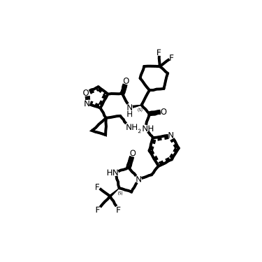 NCC1(c2nocc2C(=O)N[C@H](C(=O)Nc2cc(CN3C[C@@H](C(F)(F)F)NC3=O)ccn2)C2CCC(F)(F)CC2)CC1